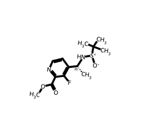 COC(=O)c1nccc([C@@H](C)N[S+]([O-])C(C)(C)C)c1F